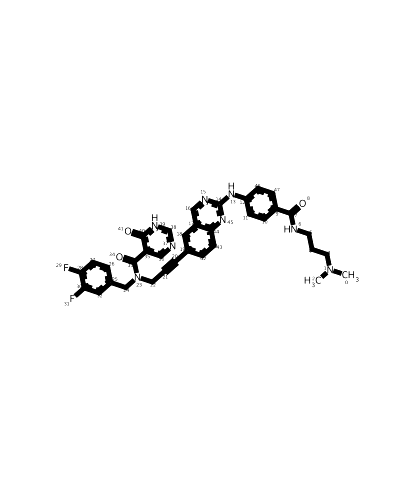 CN(C)CCCNC(=O)c1ccc(Nc2ncc3cc(C#CCN(Cc4ccc(F)c(F)c4)C(=O)c4cnc[nH]c4=O)ccc3n2)cc1